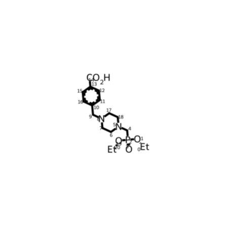 CCOP(=O)(CN1CCN(Cc2ccc(C(=O)O)cc2)CC1)OCC